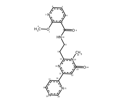 COc1ncccc1C(=O)NCCc1nc(-c2ccncn2)cc(=O)n1C